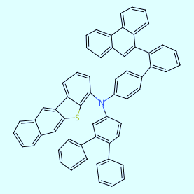 c1ccc(-c2ccc(N(c3ccc(-c4ccccc4-c4cc5ccccc5c5ccccc45)cc3)c3cccc4c3sc3cc5ccccc5cc34)cc2-c2ccccc2)cc1